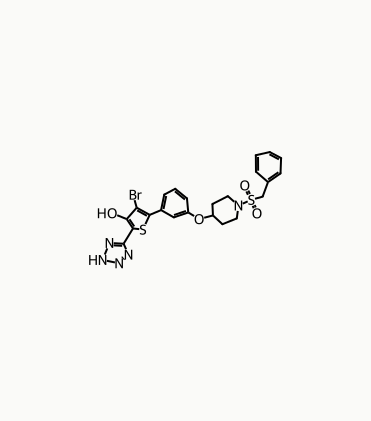 O=S(=O)(Cc1ccccc1)N1CCC(Oc2cccc(-c3sc(-c4nn[nH]n4)c(O)c3Br)c2)CC1